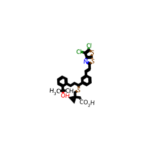 CC(C)(O)c1ccccc1CCC(SCC1(CC(=O)O)CC1)c1cccc(C=Cc2nc3c(Cl)c(Cl)sc3s2)c1